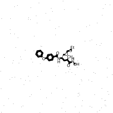 CCOCOC[C@H](C[C@@H](C)C(=O)NO)NC(=O)c1ccc(Oc2ccccc2)cc1